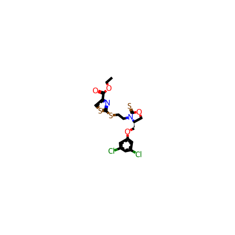 CCOC(=O)c1csc(SCCN2C(=S)OC[C@@H]2COc2cc(Cl)cc(Cl)c2)n1